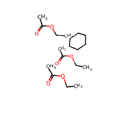 C1CCCCC1.CCOC(C)=O.CCOC(C)=O.CCOC(C)=O